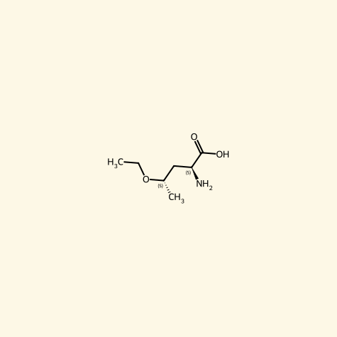 CCO[C@@H](C)C[C@H](N)C(=O)O